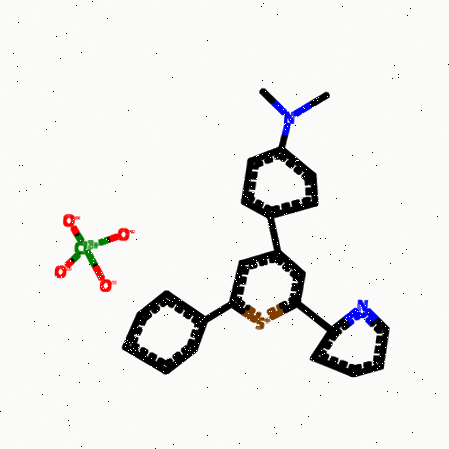 CN(C)c1ccc(-c2cc(-c3ccccc3)[s+]c(-c3ccccn3)c2)cc1.[O-][Cl+3]([O-])([O-])[O-]